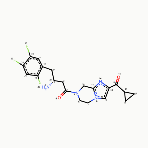 N[C@@H](CC(=O)N1CCn2cc(C(=O)C3CC3)nc2C1)Cc1cc(F)c(F)cc1F